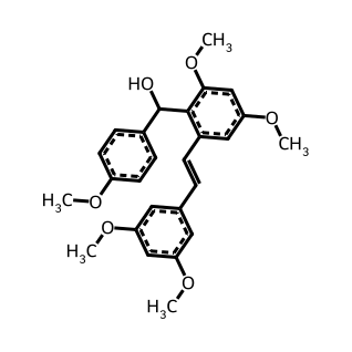 COc1ccc(C(O)c2c(/C=C/c3cc(OC)cc(OC)c3)cc(OC)cc2OC)cc1